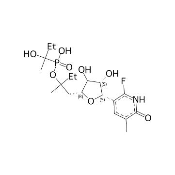 CCC(C)(C[C@H]1O[C@@H](c2cc(C)c(=O)[nH]c2F)[C@@H](O)C1O)OP(=O)(O)C(C)(O)CC